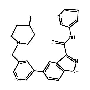 CC1CCN(Cc2cncc(-c3ccc4[nH]nc(C(=O)Nc5cccnc5)c4c3)c2)CC1